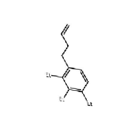 C=CCCc1ccc(CC)c(CC)c1CC